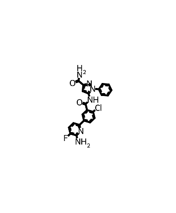 NC(=O)c1cc(NC(=O)c2cc(-c3ccc(F)c(N)n3)ccc2Cl)n(-c2ccccc2)n1